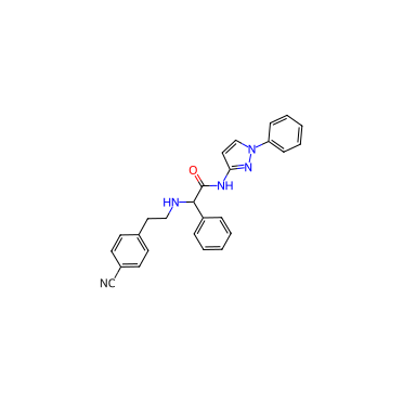 N#Cc1ccc(CCNC(C(=O)Nc2ccn(-c3ccccc3)n2)c2ccccc2)cc1